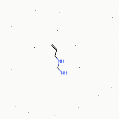 C=CCNC[NH]